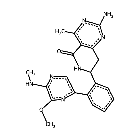 CNc1ncc(-c2ccccc2C2Cc3nc(N)nc(C)c3C(=O)N2)nc1OC